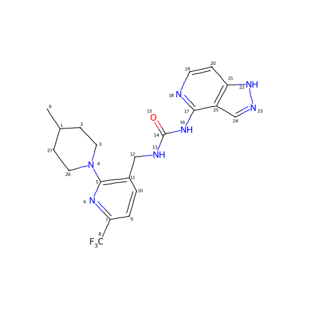 CC1CCN(c2nc(C(F)(F)F)ccc2CNC(=O)Nc2nccc3[nH]ncc23)CC1